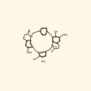 COc1cc2c3cc1Oc1cc(ccc1O)C[C@H]1c4c(cc(OC)c(O)c4Oc4ccc(cc4)C[C@@H]3N(C)CC2)CCN1C.N